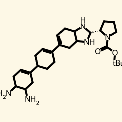 CC(C)(C)OC(=O)N1CCC[C@H]1C1NC2CC=C(C3=CCC(C4=CCC(N)C(N)C4)CC3)CC2N1